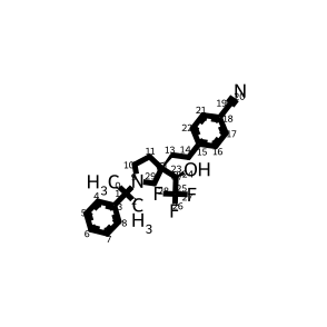 CC(C)(c1ccccc1)N1CC[C@](CCc2ccc(C#N)cc2)([C@@H](O)C(F)(F)F)C1